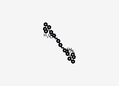 CC1(C)c2cc(/C=C/c3ccc(-c4ccc(/C=C/c5ccc6c(c5)C(C)(C)c5cc(N(c7cccc(-c8ccccc8)c7)c7cccc8ccccc78)ccc5-6)cc4)cc3)ccc2-c2ccc(N(c3cccc(-c4ccccc4)c3)c3cccc4ccccc34)cc21